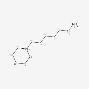 NOCCCCCN1CCCCC1